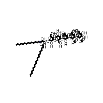 CCCCCCCCCCCCC/C=C/[C@@H](O)[C@H](CO[C@@H]1OC(CO)[C@@H](O[C@@H]2OC(CO)[C@H](O[C@@H]3OC(CO)[C@H](O)[C@H](O[C@@H]4OC(CO)[C@H](O)[C@H](O[C@@H]5OC(CO)[C@H](O)[C@H](O)C5NC(C)=O)C4NC(C)=O)C3O)[C@H](O)C2O)[C@H](O)C1O)NC(=O)CCCCCCCCCCCCCCCCCCC